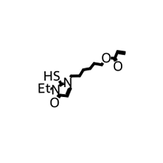 C=CC(=O)OCCCCCCN1C=CC(=O)N(CC)C1S